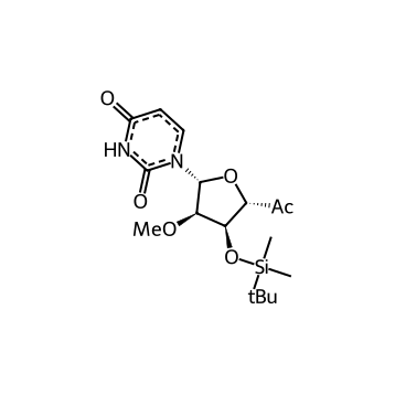 CO[C@@H]1[C@H](O[Si](C)(C)C(C)(C)C)[C@@H](C(C)=O)O[C@H]1n1ccc(=O)[nH]c1=O